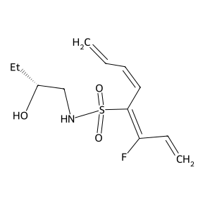 C=C/C=C\C(=C(\F)C=C)S(=O)(=O)NC[C@H](O)CC